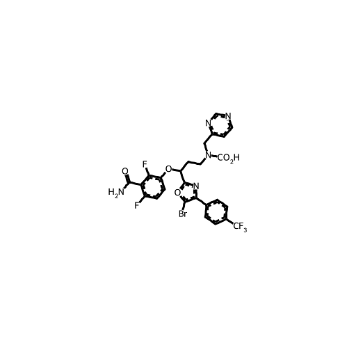 NC(=O)c1c(F)ccc(OC(CCN(Cc2ccncn2)C(=O)O)c2nc(-c3ccc(C(F)(F)F)cc3)c(Br)o2)c1F